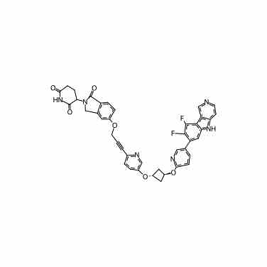 O=C1CCC(N2Cc3cc(OCC#Cc4ccc(O[C@H]5C[C@H](Oc6ccc(-c7cc8[nH]c9ccncc9c8c(F)c7F)cn6)C5)cn4)ccc3C2=O)C(=O)N1